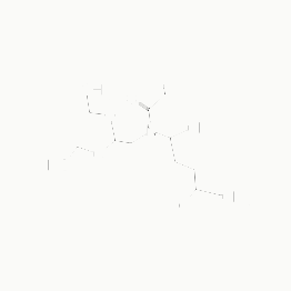 CCOC(CN(C(=O)CCl)C(C)CCC(C)C)OCC